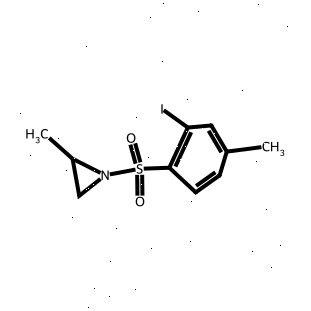 Cc1ccc(S(=O)(=O)N2CC2C)c(I)c1